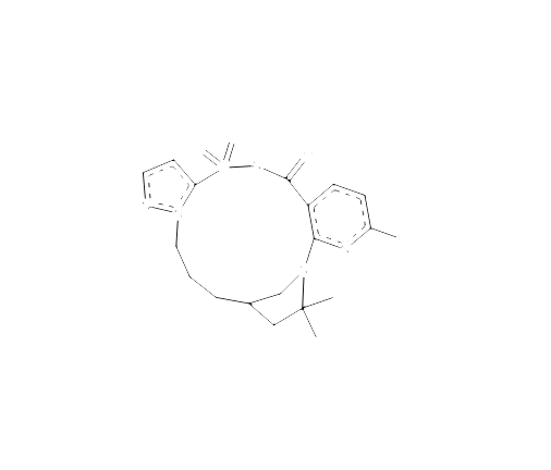 CC1(C)CC2CCCn3nccc3S(=O)(=O)NC(=O)c3ccc(Cl)nc3N1C2